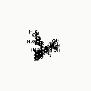 COC(=O)c1ccc(C2CCN(CC[C@H](CN(C)C(=O)c3c(OC)c(C#N)cc4ccccc34)c3ccc(Cl)c(Cl)c3)CC2)c([S+](C)[O-])c1.O=C(O)CC(O)(CC(=O)O)C(=O)O